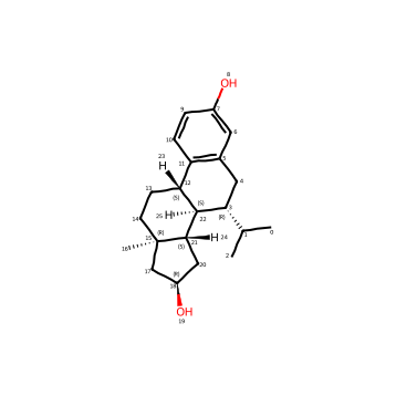 CC(C)[C@H]1Cc2cc(O)ccc2[C@H]2CC[C@]3(C)C[C@H](O)C[C@H]3[C@@H]21